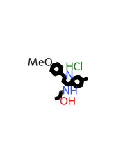 COc1ccc(-c2cc(NCC(C)O)c3ccc(C)cc3n2)cc1.Cl